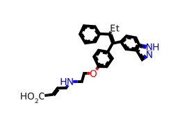 CC/C(=C(/c1ccc(OCCNC/C=C/C(=O)O)cc1)c1ccc2[nH]ncc2c1)c1ccccc1